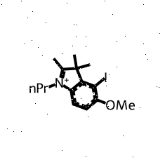 CCC[N+]1=C(C)C(C)(C)c2c1ccc(OC)c2I